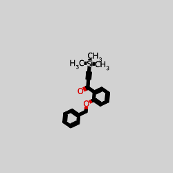 C[Si](C)(C)C#CC(=O)c1ccccc1OCc1ccccc1